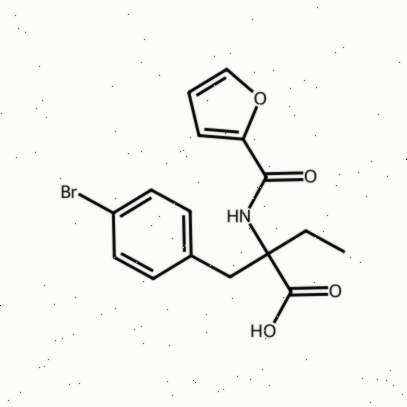 CCC(Cc1ccc(Br)cc1)(NC(=O)c1ccco1)C(=O)O